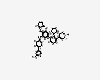 CC(C)c1nnc(-c2ccc(Oc3cc(C4C=CC=C(C5=CCNCC5)N4C4CCCC4)ccc3CN3CCCC3=O)cc2)s1